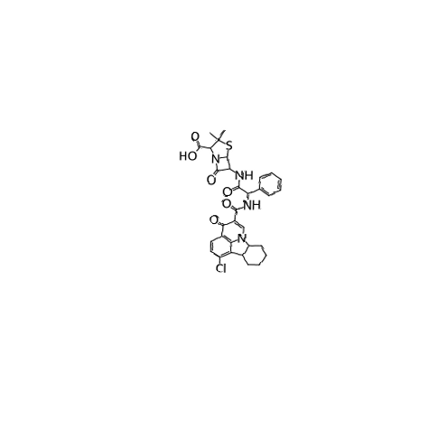 CC1(C)SC2C(NC(=O)C(NC(=O)c3cn4c5c(c(Cl)ccc5c3=O)C3CCCCC34)c3ccccc3)C(=O)N2C1C(=O)O